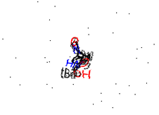 Cc1cc(N2CCOCC2)cc(C2CC2)c1C(=O)NCC[C@@H](O)C(C)(C)C